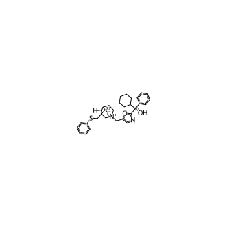 O[C@](c1ccccc1)(c1ncc(C[N+]23CCC(CC2)[C@@H](CSc2ccccc2)C3)o1)C1CCCCC1